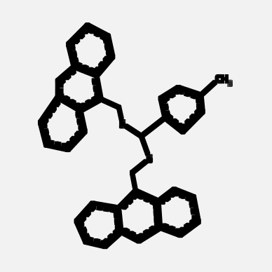 Cc1ccc(C(SCc2c3ccccc3cc3ccccc23)SCc2c3ccccc3cc3ccccc23)cc1